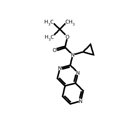 CC(C)(C)OC(=O)N(c1ncc2ccncc2n1)C1CC1